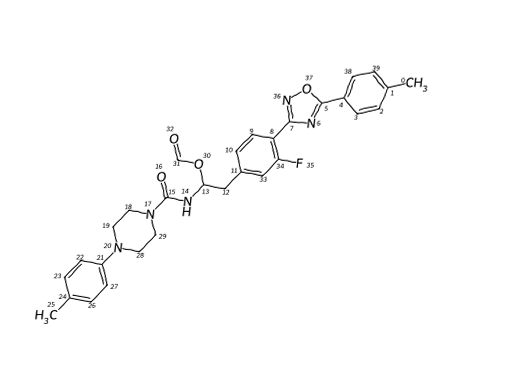 Cc1ccc(-c2nc(-c3ccc(CC(NC(=O)N4CCN(c5ccc(C)cc5)CC4)OC=O)cc3F)no2)cc1